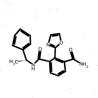 C[C@@H](NC(=O)c1cccc(C(N)=O)c1-c1ncco1)c1ccccc1